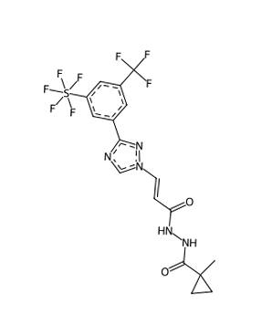 CC1(C(=O)NNC(=O)C=Cn2cnc(-c3cc(C(F)(F)F)cc(S(F)(F)(F)(F)F)c3)n2)CC1